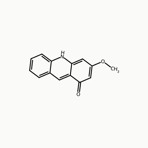 COc1cc2[nH]c3ccccc3cc-2c(=O)c1